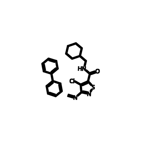 C=Nc1nsc(C(=O)NCC2CCCCC2)c1Cl.c1ccc(-c2ccccc2)cc1